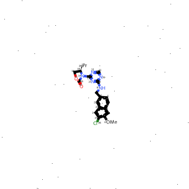 COc1cc2ccc(CNc3ncnc(N4C(=O)OC[C@@H]4C(C)C)n3)cc2cc1Cl